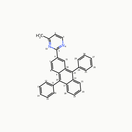 Cc1ccnc(-c2ccc3c(-c4ccccc4)c4ccccc4c(-c4ccccc4)c3c2)n1